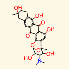 CN(C)C1C(O)C2Oc3c(cc(O)c4c3C(=O)c3cc5c(c(O)c3C4=O)CCC(C)(O)C5)C(C)(O2)C1O